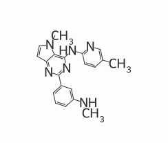 CNc1cccc(-c2nc(Nc3ccc(C)cn3)c3c(ccn3C)n2)c1